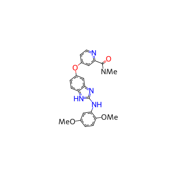 CNC(=O)c1cc(Oc2ccc3[nH]c(Nc4cc(OC)ccc4OC)nc3c2)ccn1